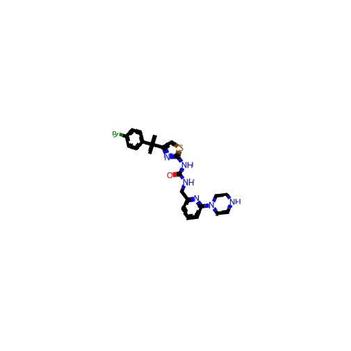 CC(C)(c1ccc(Br)cc1)c1csc(NC(=O)NCc2cccc(N3CCNCC3)n2)n1